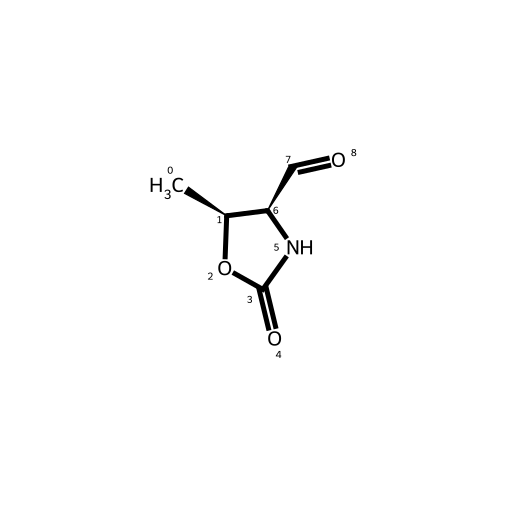 C[C@@H]1OC(=O)N[C@@H]1C=O